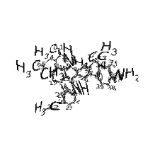 C/C=C(\CCC(C)C)Nc1c2ccccc2c(Nc2ccc(C)cc2)c2cc3c(cc12)C(C)(C)c1cc(N)ccc1-3